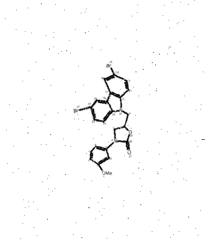 COc1cccc(N2CC(Cn3c4ccc(Br)cc4c4cc(Br)ccc43)OC2=O)c1